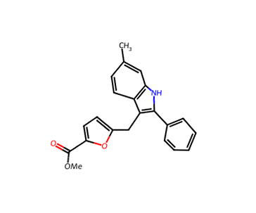 COC(=O)c1ccc(Cc2c(-c3ccccc3)[nH]c3cc(C)ccc23)o1